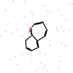 C1=CCC23C=CC=CN2C=CC=CC3=C1